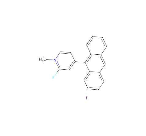 C[n+]1ccc(-c2c3ccccc3cc3ccccc23)cc1F.[I-]